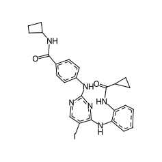 O=C(NC1CCC1)c1ccc(Nc2ncc(I)c(Nc3ccccc3NC(=O)C3CC3)n2)cc1